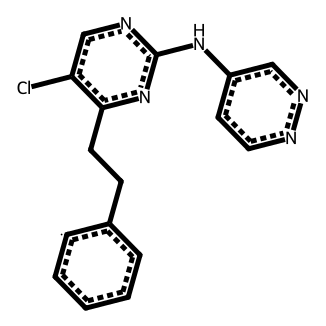 Clc1cnc(Nc2ccnnc2)nc1CCc1[c]cccc1